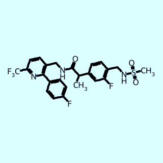 CC(C(=O)NCc1ccc(C(F)(F)F)nc1-c1ccc(F)cc1)c1ccc(CNS(C)(=O)=O)c(F)c1